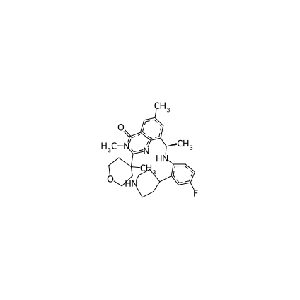 Cc1cc([C@@H](C)Nc2ccc(F)cc2C2CCNCC2)c2nc(C3(C)CCOCC3)n(C)c(=O)c2c1